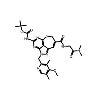 COc1c(C)cnc(Cn2nc3c4c(nc(NC(=O)OC(C)(C)C)nc42)SCC(C(=O)NCC(=O)N(C)C)=C3)c1C